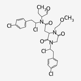 CCC(C=O)N(C(=O)CC1C(=O)N(C(Cl)Cc2ccc(Cl)cc2)CC(=O)N1CCOC)C(Cl)Cc1ccc(Cl)cc1